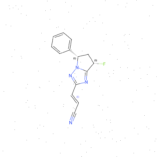 N#C/C=C/c1nc2n(n1)[C@H](c1ccccc1)C[C@@H]2F